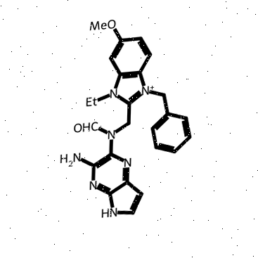 CCn1c(CN(C=O)c2nc3cc[nH]c3nc2N)[n+](Cc2ccccc2)c2ccc(OC)cc21